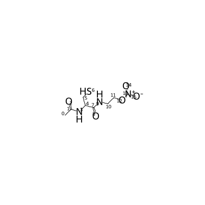 CC(=O)NC(CS)C(=O)NCCO[N+](=O)[O-]